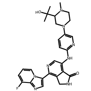 CN1CCN(c2ccc(Nc3cnc(-c4cnc5c(F)cccn45)c4c3C(=O)NC4)nc2)CC1C(C)(C)O